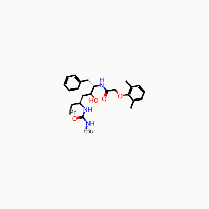 Cc1cccc(C)c1OCC(=O)N[C@@H](Cc1ccccc1)[C@@H](O)C[C@H](CC(C)C)NC(=O)NC(C)(C)C